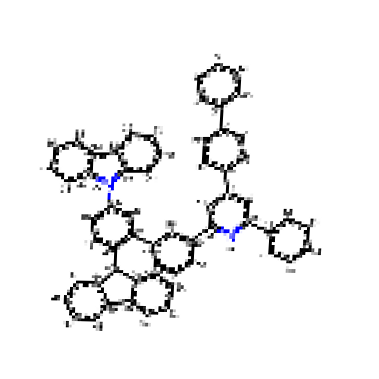 c1ccc(-c2ccc(-c3cc(-c4ccccc4)nc(-c4cccc(-c5cc(-n6c7ccccc7c7ccccc76)ccc5C5c6ccccc6-c6ccccc65)c4)c3)cc2)cc1